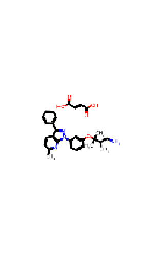 Cc1ccc2c(-c3ccccc3)nn(-c3cccc(OC(C)(C)C(C)CN)c3)c2n1.O=C(O)C=CC(=O)O